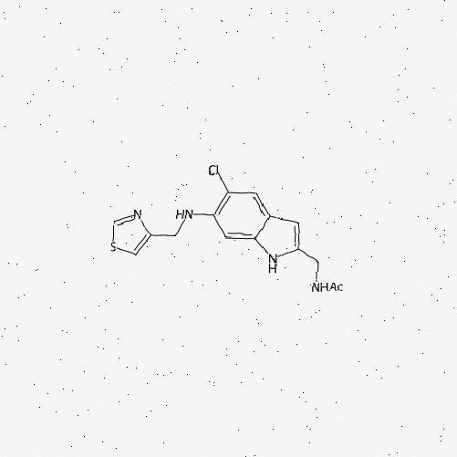 CC(=O)NCc1cc2cc(Cl)c(NCc3cscn3)cc2[nH]1